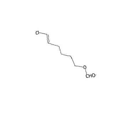 O=[C]OCCCC/C=C/Cl